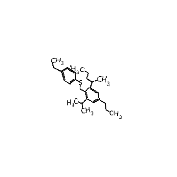 CCCc1cc(C(C)C)c(CSc2ccc(CC)cc2)c(C(C)CCC)c1